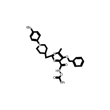 CCCC(=O)ONC(=O)c1nc(CC2CCN(c3ccc(C(C)(C)C)cc3)CC2)nc(C)c1OCc1ccccc1